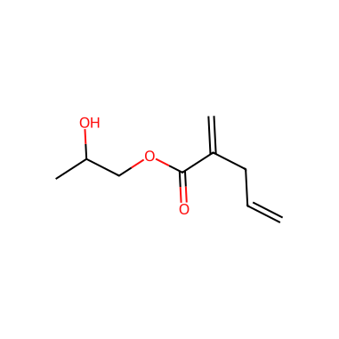 C=CCC(=C)C(=O)OCC(C)O